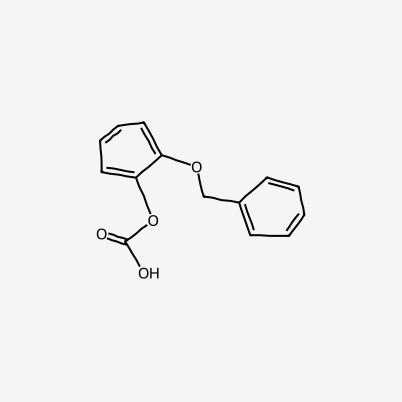 O=C(O)Oc1ccccc1OCc1ccccc1